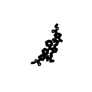 CCOC(=O)c1cccc(C(C)(C)C(/C=C/C2=C(N(c3ccccc3)c3ccccc3)C(=C/C=C3/N(C)c4ccc(C(=O)OCC)cc4C3(C)C)/CC2)=N/C)c1